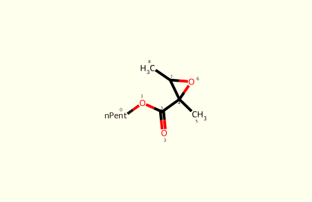 CCCCCOC(=O)C1(C)OC1C